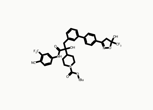 CC(C)(C)OC(=O)N1CCC(C(O)(Cc2cccc(-c3ccc(C4=NOC(O)(C(F)(F)F)C4)cc3)c2)C(=O)Nc2ccc(C#N)c(C(F)(F)F)c2)CC1